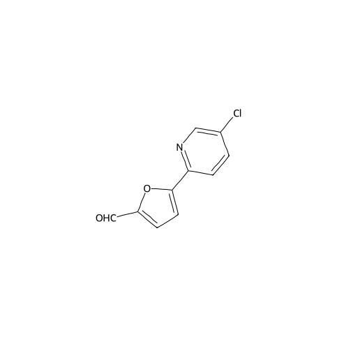 O=Cc1ccc(-c2ccc(Cl)cn2)o1